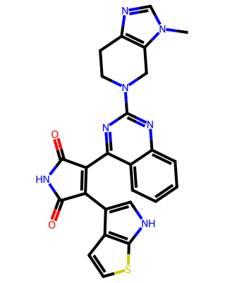 Cn1cnc2c1CN(c1nc(C3=C(c4c[nH]c5sccc45)C(=O)NC3=O)c3ccccc3n1)CC2